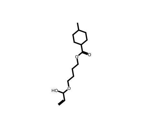 C=CC(O)OCCCCOC(=O)C1CCC(C)CC1